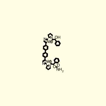 NC(=O)O[C@@H](C(=O)N1CCC[C@H]1c1ncc(-c2ccc(-c3ccc(-c4cnc([C@@H]5CCCN5C(=O)[C@H](O)c5ccccc5)[nH]4)cc3)cc2)[nH]1)c1ccccc1